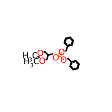 CC1(C)OCC(COP(OCc2ccccc2)OCc2ccccc2)CO1